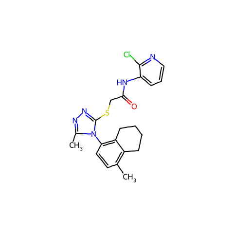 Cc1ccc(-n2c(C)nnc2SCC(=O)Nc2cccnc2Cl)c2c1CCCC2